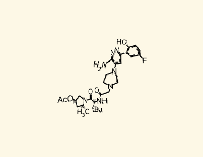 CC(=O)O[C@@H]1C[C@@H](C)N(C(=O)[C@@H](NC(=O)CN2CCN(c3cc(-c4cc(F)ccc4O)nnc3N)CC2)C(C)(C)C)C1